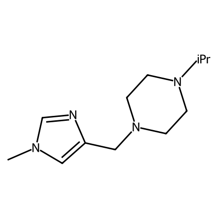 CC(C)N1CCN(Cc2cn(C)cn2)CC1